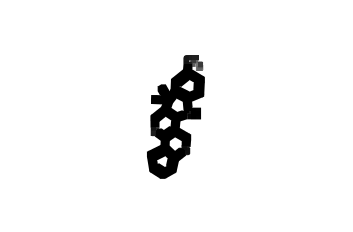 CC1(C)c2cc(C(F)(F)F)ccc2NC2C3=C(SCC21)c1ccccc1SC3